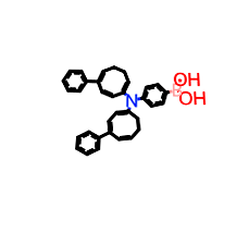 OB(O)c1ccc(N(C2=CCC/C=C(c3ccccc3)\C=C/2)/C2=C/C=C(c3ccccc3)\C=C/CC2)cc1